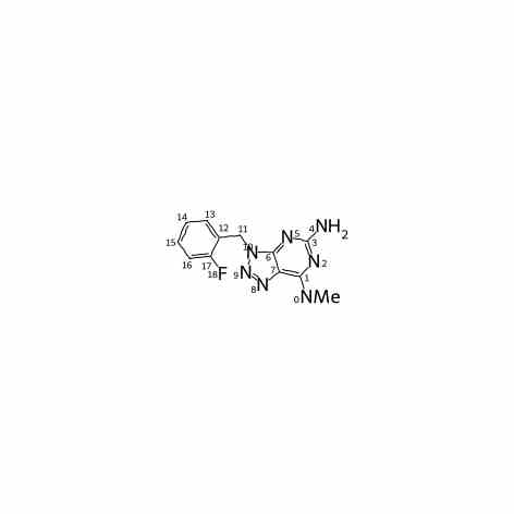 CNc1nc(N)nc2c1nnn2Cc1ccccc1F